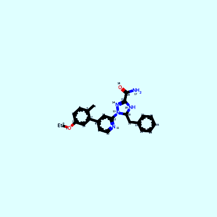 CCOc1ccc(C)c(-c2ccnc(N3N=C(C(N)=O)NC3Cc3ccccc3)c2)c1